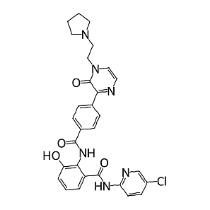 O=C(Nc1c(O)cccc1C(=O)Nc1ccc(Cl)cn1)c1ccc(-c2nccn(CCN3CCCC3)c2=O)cc1